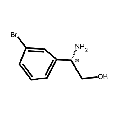 N[C@H](CO)c1cccc(Br)c1